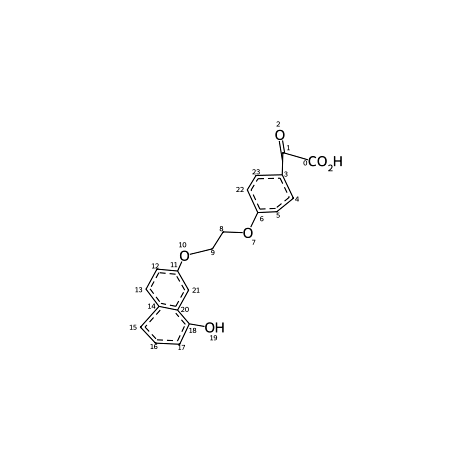 O=C(O)C(=O)c1ccc(OCCOc2ccc3cccc(O)c3c2)cc1